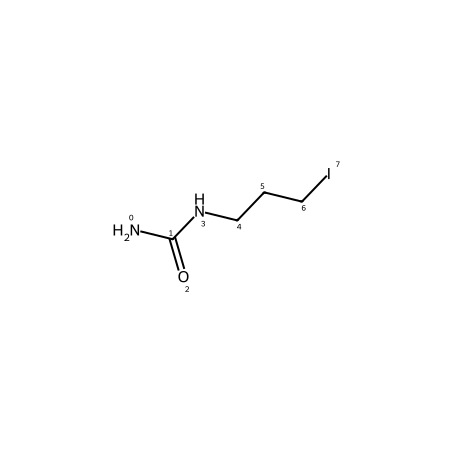 NC(=O)NCCCI